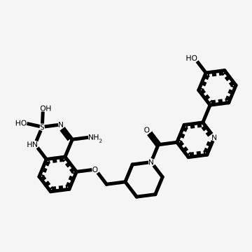 NC1=NS(O)(O)Nc2cccc(OCC3CCCN(C(=O)c4ccnc(-c5cccc(O)c5)c4)C3)c21